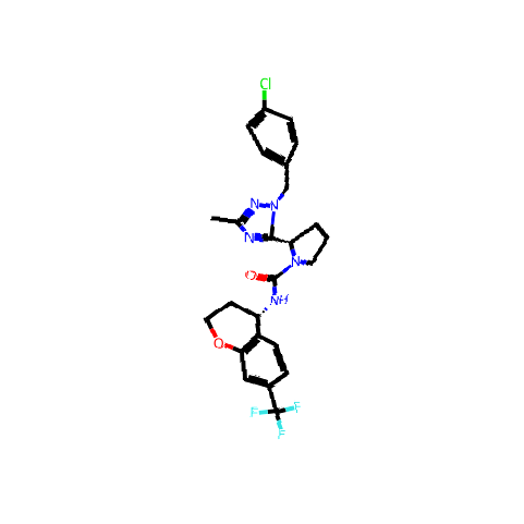 Cc1nc([C@H]2CCCN2C(=O)N[C@H]2CCOc3cc(C(F)(F)F)ccc32)n(Cc2ccc(Cl)cc2)n1